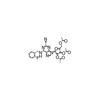 CC(=O)OC[C@@H]1O[C@@H](n2cnc3c(NCc4ccccc4F)nc(C#N)nc32)[C@H](OC(C)=O)[C@@H]1OC(C)=O